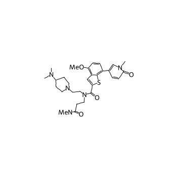 CNC(=O)CCN(CCN1CCC(N(C)C)CC1)C(=O)c1cc2c(OC)ccc(-c3ccc(=O)n(C)c3)c2s1